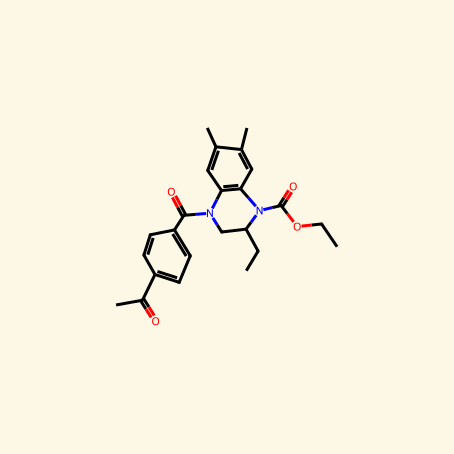 CCOC(=O)N1c2cc(C)c(C)cc2N(C(=O)c2ccc(C(C)=O)cc2)CC1CC